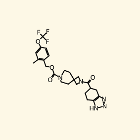 Cc1cc(OC(F)(F)F)ccc1COC(=O)N1CCC2(CC1)CN(C(=O)C1CCc3[nH]nnc3C1)C2